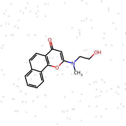 CN(CCO)c1cc(=O)c2ccc3ccccc3c2o1